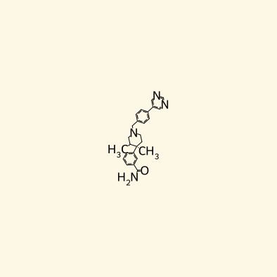 C[C@H]1CN(Cc2ccc(-c3cncnc3)cc2)CC[C@@]1(C)c1cccc(C(N)=O)c1